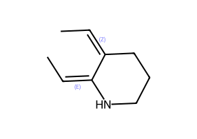 C/C=C1/CCCN/C1=C/C